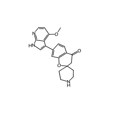 COc1ccnc2[nH]cc(-c3ccc4c(c3)OC3(CCNCC3)CC4=O)c12